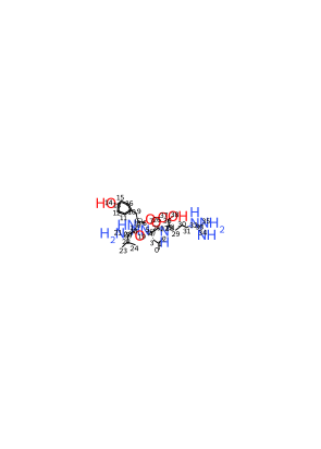 CC(C)C[C@H](NC(=O)[C@H](Cc1ccc(O)cc1)NC(=O)[C@@H](N)C(C)C)C(=O)N[C@@H](CCCNC(=N)N)C(=O)O